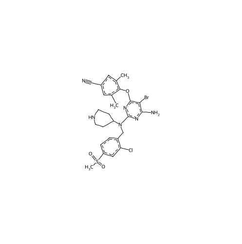 Cc1cc(C#N)cc(C)c1Oc1nc(N(Cc2ccc(S(C)(=O)=O)cc2Cl)C2CCNCC2)nc(N)c1Br